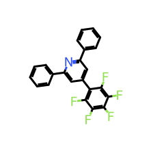 Fc1c(F)c(F)c(-c2cc(-c3ccccc3)nc(-c3ccccc3)c2)c(F)c1F